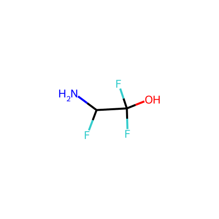 NC(F)C(O)(F)F